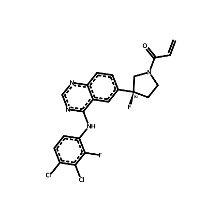 C=CC(=O)N1CC[C@](F)(c2ccc3ncnc(Nc4ccc(Cl)c(Cl)c4F)c3c2)C1